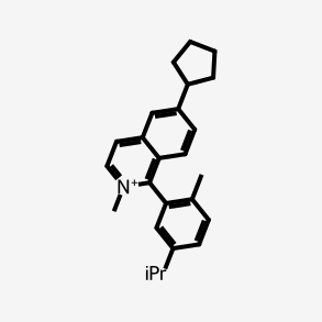 Cc1ccc(C(C)C)cc1-c1c2ccc(C3CCCC3)cc2cc[n+]1C